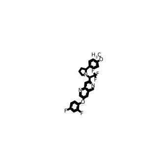 COc1ccc(C2CCCN2C(c2cc3ncc(Oc4ccc(F)cc4F)cc3cn2)C(F)(F)F)cc1